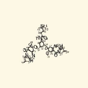 C=C1C[C@H]2C=Nc3cc(OCc4cc(COc5cc6c(cc5OC)C(=O)N5CC(=C)C[C@H]5C=N6)cc(NC(=O)CCC(C)(C)S)c4)c(OC)cc3C(=O)N2C1